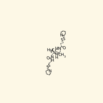 CC(CNC(=O)CCSSc1ccccn1)NC(C)(C)CNC(=O)CCSSc1ccccn1